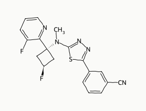 CN(c1nnc(-c2cccc(C#N)c2)s1)[C@]1(c2ncccc2F)C[C@@H](F)C1